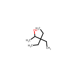 CCC(CC)(CC)C(C)O